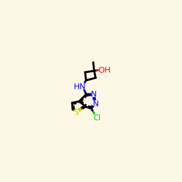 CC1(O)CC(Nc2nnc(Cl)c3sccc23)C1